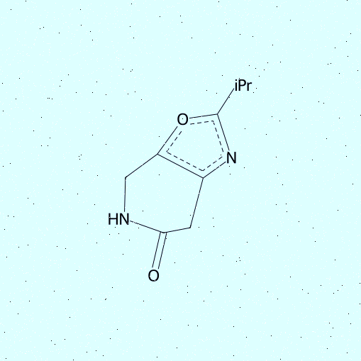 CC(C)c1nc2c(o1)CNC(=O)C2